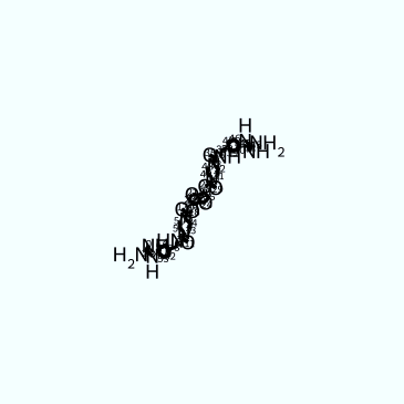 N=C(N)Nc1ccc(CNC(=O)N2CCN(C(=O)O[C@@H]3COC4C3OC[C@H]4OC(=O)N3CCN(C(=O)NCc4ccc(NC(=N)N)cc4)CC3)CC2)cc1